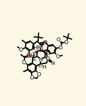 COc1cc2c(cc1OC(=O)OC(C)(C)C)CCN[C@]21CS[C@@H]2c3c(OC(C)=O)c(C)c4c(c3[C@H](COC1=O)N1C2[C@H](c2c(C)cc(C)c(OC)c2O)N(C(=O)CC(C)(C)C)[C@@H](C)[C@@H]1C#N)OCO4